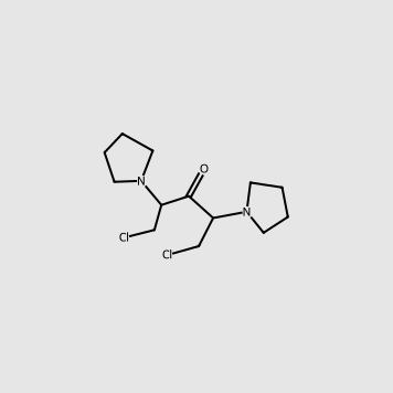 O=C(C(CCl)N1CCCC1)C(CCl)N1CCCC1